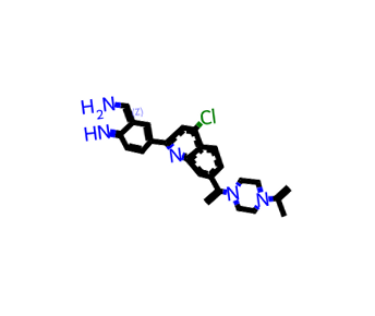 C=C(C)N1CCN(C(=C)c2ccc3c(Cl)cc(C4=C/C(=C/N)C(=N)C=C4)nc3c2)CC1